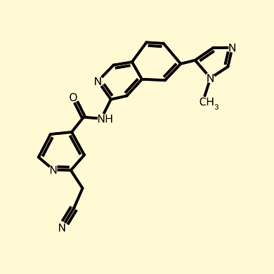 Cn1cncc1-c1ccc2cnc(NC(=O)c3ccnc(CC#N)c3)cc2c1